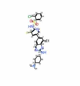 CCc1cc(-c2cnc(NS(=O)(=O)c3ccccc3Cl)c(F)c2)cc2cnc(N[C@H]3CC[C@H](N(C)C)CC3)nc12